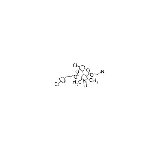 CC1=C(C(=O)OCC=Cc2ccc(Cl)cc2)C(c2cccc(Cl)c2)C(C(=O)OCCC#N)=C(C)N1